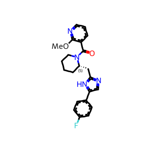 COc1ncccc1C(=O)N1CCCC[C@H]1Cc1ncc(-c2ccc(F)cc2)[nH]1